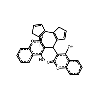 O=c1oc2ccccc2c(O)c1C(C1=C(C2=[C]([Fe])CC=C2)CC=C1)c1c(O)c2ccccc2oc1=O